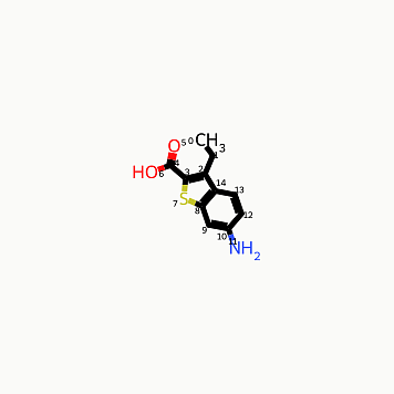 CCc1c(C(=O)O)sc2cc(N)ccc12